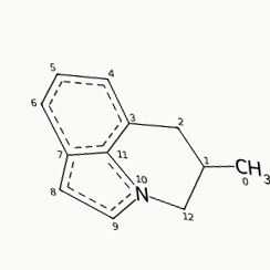 CC1Cc2cccc3ccn(c23)C1